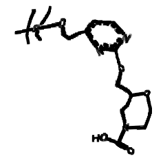 CC(C)(C)[Si](C)(C)OCc1ccnc(OCC2CN(C(=O)O)CCO2)n1